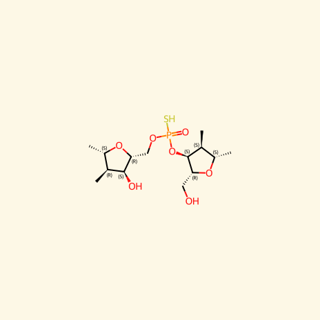 C[C@@H]1[C@H](O)[C@@H](COP(=O)(S)O[C@H]2[C@@H](C)[C@H](C)O[C@@H]2CO)O[C@H]1C